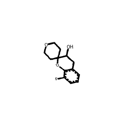 OC1Cc2cccc(F)c2OC12CCOCC2